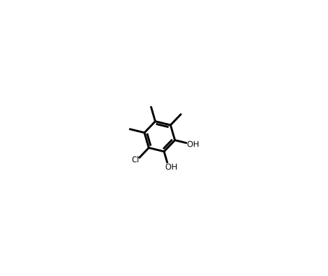 Cc1c(C)c(O)c(O)c(Cl)c1C